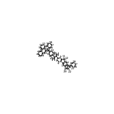 [2H]/C(=C(/[2H])c1ccc2c(c1)C(C)(C)c1cc3c(cc1-2)c(C)c(C)n3-c1ccccc1)c1ccc(N(c2ccccc2)c2cc3ccccc3c3ccccc23)cc1